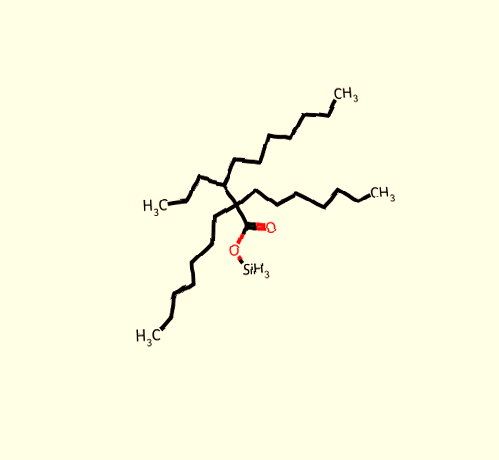 CCCCCCCC(CCC)C(CCCCCCC)(CCCCCCC)C(=O)O[SiH3]